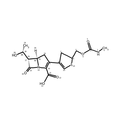 CNC(=O)OCC1CC(C2=C(C(=O)O)N3C(=O)[C@H]([C@@H](C)O)[C@H]3C2)=CS1